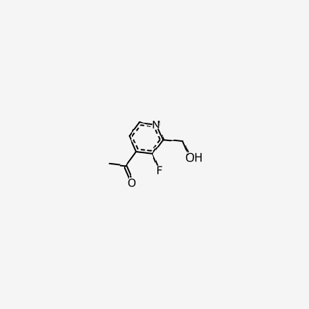 CC(=O)c1ccnc(CO)c1F